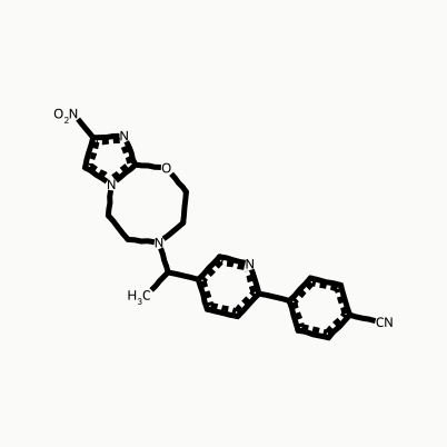 CC(c1ccc(-c2ccc(C#N)cc2)nc1)N1CCOc2nc([N+](=O)[O-])cn2CC1